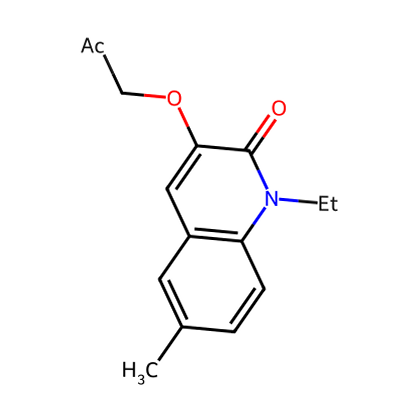 CCn1c(=O)c(OCC(C)=O)cc2cc(C)ccc21